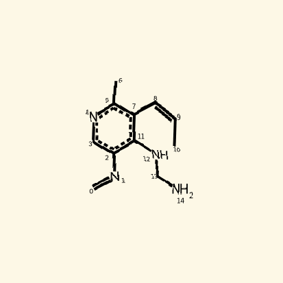 C=Nc1cnc(C)c(/C=C\C)c1NCN